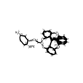 CC(C)[C@@H]1CC[C@@H](C)C[C@H]1OCP1Oc2cccc3c2C2(c4ccccc4O3)c3ccccc3Oc3cccc(c32)O1